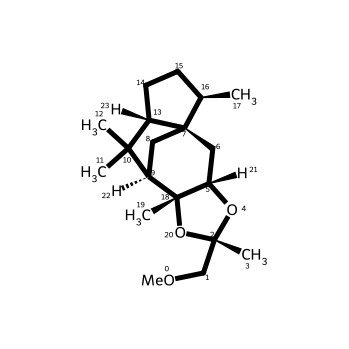 COC[C@@]1(C)O[C@H]2C[C@@]34C[C@H](C(C)(C)[C@@H]3CC[C@H]4C)[C@@]2(C)O1